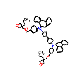 CCCC1(COCc2ccc(N(c3ccc(-c4ccc(N(c5ccc(COCC6(CCC)COC6)cc5)c5cc6ccccc6c6ccccc56)cc4)cc3)c3cc4ccccc4c4ccccc34)cc2)COC1